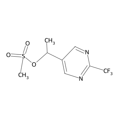 CC(OS(C)(=O)=O)c1cnc(C(F)(F)F)nc1